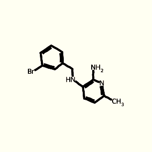 Cc1ccc(NCc2cccc(Br)c2)c(N)n1